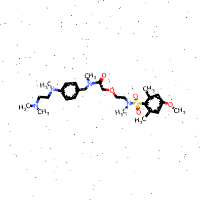 COc1cc(C)c(S(=O)(=O)N(C)CCOCC(=O)N(C)Cc2ccc(N(C)CCN(C)C)cc2)c(C)c1